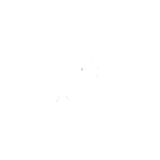 C=C(C)C(=O)OCC(O)COC(=O)C(C)(CC(C)CC)C(C)(C)CC